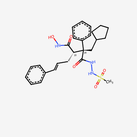 CS(=O)(=O)NNC(=O)[C@@](CC1CCCC1)(c1ccccc1)[C@H](CC=Cc1ccccc1)C(=O)NO